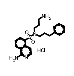 Cl.NCCCN(CCCc1ccccc1)S(=O)(=O)c1cccc2c(N)nccc12